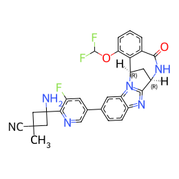 CC1(C#N)CC(N)(c2ncc(-c3ccc4nc5n(c4c3)[C@@H]3C[C@H]5NC(=O)c4cccc(OC(F)F)c43)cc2F)C1